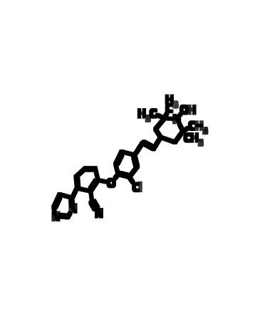 CC1(C)CC(C=Cc2ccc(Oc3cccc(-c4ccncn4)c3C#N)c(Cl)c2)CC(C)(C)N1O